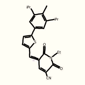 CCN1C(=O)C(C#N)=C/C(=C/c2ccc(-c3cc(C(C)C)c(C)c(C(C)C)c3)s2)C1=O